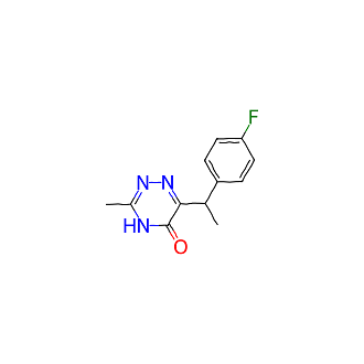 Cc1nnc(C(C)c2ccc(F)cc2)c(=O)[nH]1